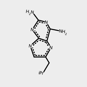 CC(C)Cc1cnc2nc(N)nc(N)c2n1